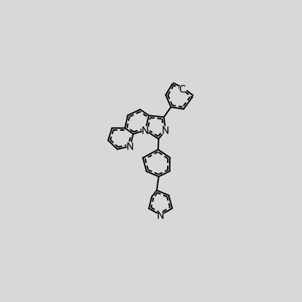 c1ccc(-c2nc(-c3ccc(-c4ccncc4)cc3)n3c2ccc2cccnc23)cc1